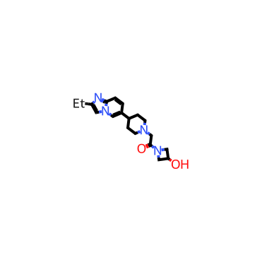 CCc1cn2cc(C3CCN(CC(=O)N4CC(O)C4)CC3)ccc2n1